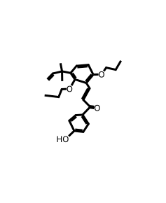 C=CC(C)(C)c1ccc(OCCC)c(C=CC(=O)c2ccc(O)cc2)c1OCCC